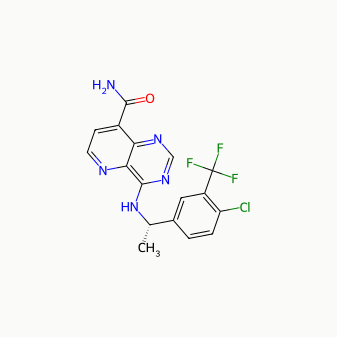 C[C@H](Nc1ncnc2c(C(N)=O)ccnc12)c1ccc(Cl)c(C(F)(F)F)c1